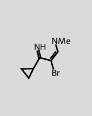 CN/C=C(/Br)C(=N)C1CC1